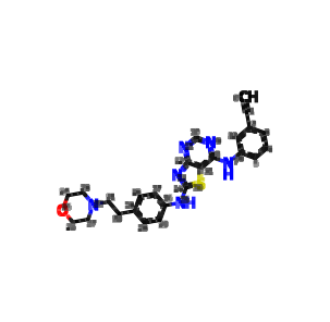 C#Cc1cccc(Nc2ncnc3nc(Nc4ccc(CCN5CCOCC5)cc4)sc23)c1